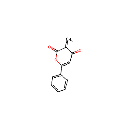 C=C1C(=O)C=C(c2ccccc2)OC1=O